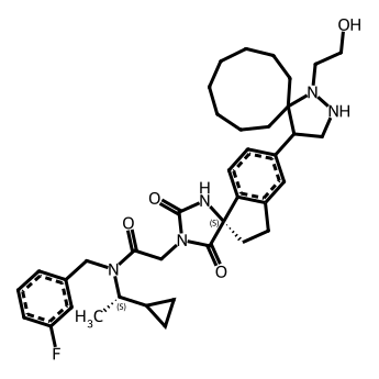 C[C@@H](C1CC1)N(Cc1cccc(F)c1)C(=O)CN1C(=O)N[C@]2(CCc3cc(C4CNN(CCO)C45CCCCCCCC5)ccc32)C1=O